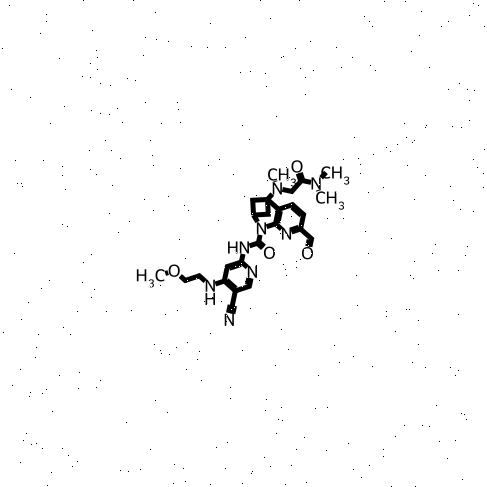 COCCNc1cc(NC(=O)N2c3nc(C=O)ccc3C3(N(C)CC(=O)N(C)C)CC2C3)ncc1C#N